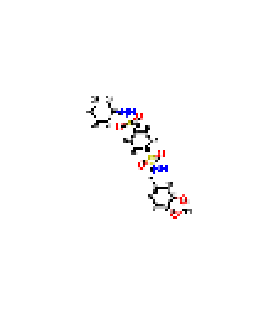 O=S(=O)(NCc1ccc2c(c1)OCO2)c1ccc(S(=O)(=O)NC2CCCCC2)cc1